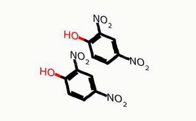 O=[N+]([O-])c1ccc(O)c([N+](=O)[O-])c1.O=[N+]([O-])c1ccc(O)c([N+](=O)[O-])c1